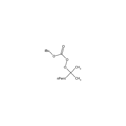 CCCCCC(C)(C)OOC(=O)OC(C)CC